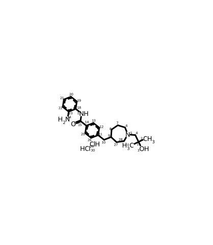 CC(C)(O)CN1CCCC(Cc2ccc(C(=O)Nc3ccccc3N)cc2)CC1.Cl.Cl